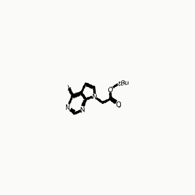 CC(C)(C)OC(=O)Cn1ccc2c(I)ncnc21